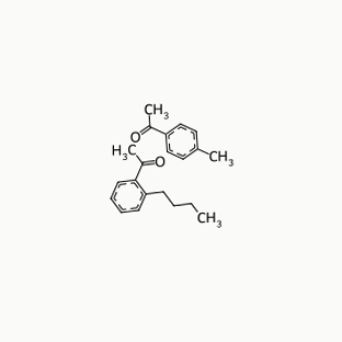 CC(=O)c1ccc(C)cc1.CCCCc1ccccc1C(C)=O